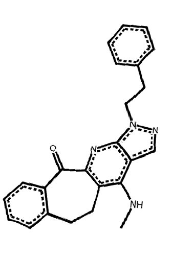 CNc1c2c(nc3c1cnn3CCc1ccccc1)C(=O)c1ccccc1CC2